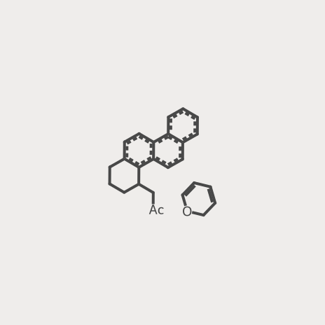 C1=CCOC=C1.CC(=O)CC1CCCc2ccc3c(ccc4ccccc43)c21